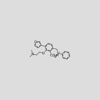 CN(C)CCOc1c(-c2ccoc2)ccc(C[S+]([O-])c2ccccc2)c1C(=O)O